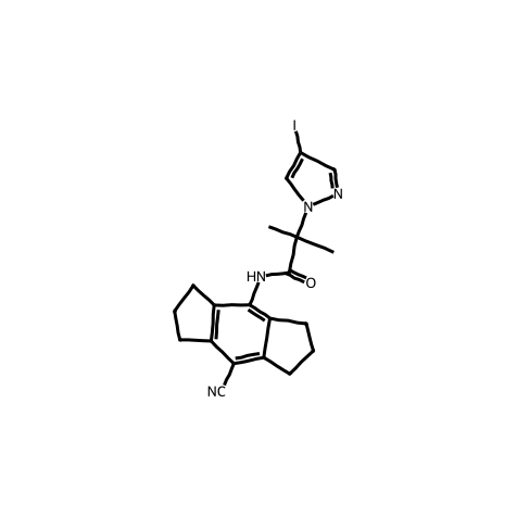 CC(C)(C(=O)Nc1c2c(c(C#N)c3c1CCC3)CCC2)n1cc(I)cn1